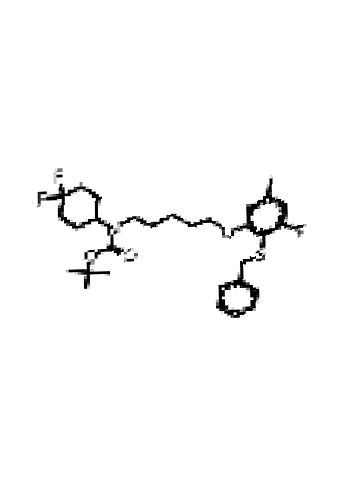 Cc1cc(F)c(SCc2ccccc2)c(OCCCCCN(C(=O)OC(C)(C)C)C2CCC(F)(F)CC2)c1